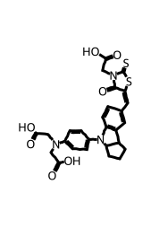 O=C(O)CN1C(=O)/C(=C\c2ccc3c(c2)C2CCCC2N3c2ccc(N(CC(=O)O)CC(=O)O)cc2)SC1=S